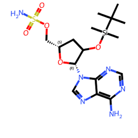 CC(C)(C)[Si](C)(C)OC1C[C@@H](COS(N)(=O)=O)O[C@H]1n1cnc2c(N)ncnc21